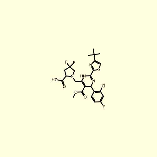 COC(=O)C1=C(CN2CC(F)(F)CC2C(=O)O)NC(c2nc(C(C)(C)C)cs2)=NC1c1ccc(F)cc1Cl